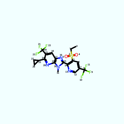 CCS(=O)(=O)c1cc(C(F)(F)F)cnc1-c1nc2cc(C(F)(F)F)c(C3CC3)nc2n1C